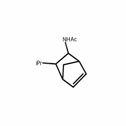 CC(=O)NC1C2C=CC(C2)C1C(C)C